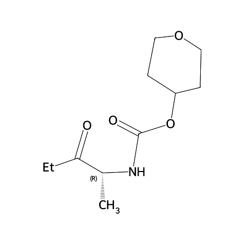 CCC(=O)[C@@H](C)NC(=O)OC1CCOCC1